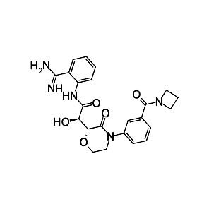 N=C(N)c1ccccc1NC(=O)[C@H](O)[C@H]1OCCN(c2cccc(C(=O)N3CCC3)c2)C1=O